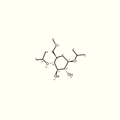 COC[C@H]1C[C@@H](OC(C)C)[C@H](O)[C@@H](O)[C@@H]1OC(C)C